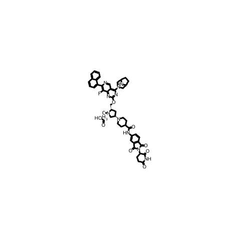 CN1C[C@@H](N2CCC(C(=O)Nc3ccc4c(c3)C(=O)N(C3CCC(=O)NC3=O)C4=O)CC2)C[C@H]1COc1nc(N2CC3CCC(C2)N3)c2cnc(-c3cccc4ccccc34)c(F)c2n1.O=CO